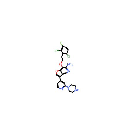 Nc1ncc2c(-c3ccnc(N4CCNCC4)c3)coc2c1OCCc1c(Cl)ccc(F)c1Cl